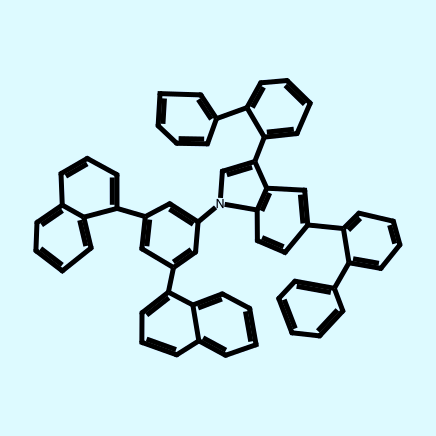 c1ccc(-c2ccccc2-c2ccc3c(c2)c(-c2ccccc2-c2ccccc2)cn3-c2cc(-c3cccc4ccccc34)cc(-c3cccc4ccccc34)c2)cc1